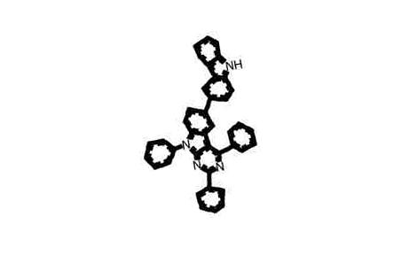 c1ccc(-c2nc(-c3ccccc3)c3c4cc(-c5ccc6[nH]c7ccccc7c6c5)ccc4n(-c4ccccc4)c3n2)cc1